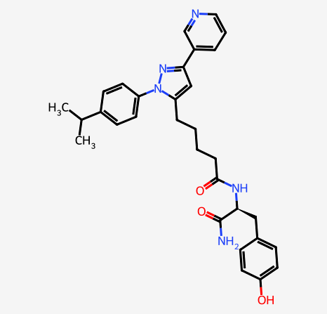 CC(C)c1ccc(-n2nc(-c3cccnc3)cc2CCCCC(=O)N[C@@H](Cc2ccc(O)cc2)C(N)=O)cc1